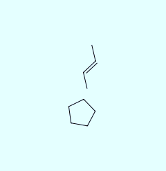 C1CCCC1.CC=CC